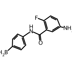 Bc1ccc(NC(=O)c2cc(N)ccc2F)cc1